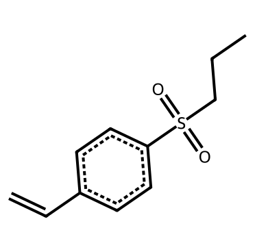 C=Cc1ccc(S(=O)(=O)CCC)cc1